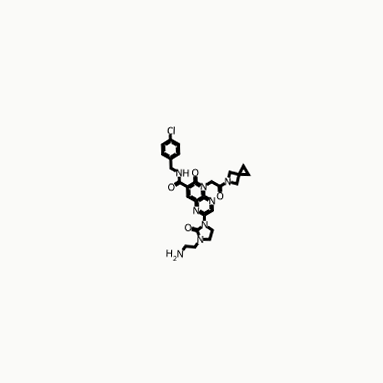 NCCN1CCN(c2cnc3c(cc(C(=O)NCc4ccc(Cl)cc4)c(=O)n3CC(=O)N3CC4(CC4)C3)n2)C1=O